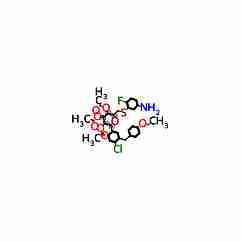 CCOc1ccc(Cc2cc([C@@H]3O[C@H](CSc4cc(N)ccc4F)[C@@H](OC(C)=O)[C@H](OC(C)=O)[C@H]3OC(C)=O)ccc2Cl)cc1